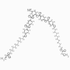 C=CC(=O)OCCCCCCCCCCCCOc1ccc(C(=O)Oc2ccc(C(=O)Oc3ccc(C#N)cc3OC(=O)c3ccc(OC(=O)c4ccc(OCCCCCCCCCCCCOC(=O)C=C)cc4)cc3)cc2)cc1